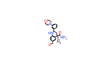 CC1(C(N)=O)CC(c2cccc(N3CCOCC3)c2)Nc2ccc([C]=O)cc21